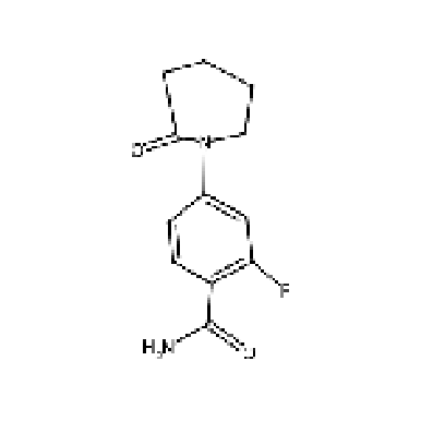 NC(=O)c1ccc(N2CCCCC2=O)cc1F